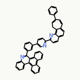 C1=Cc2ccc3ccc(-c4ccc(-c5cccc(-c6nc7ccccc7c7c8ccccc8c8ccccc8c67)c5)cn4)nc3c2CC=C1c1ccccc1